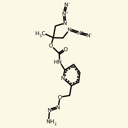 CC(CN=[N+]=[N-])(CN=[N+]=[N-])OC(=O)Nc1cccc(CON=NN)n1